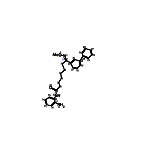 CO/N=C(\CCCCCCC(=O)Nc1ccccc1N)c1cccc(-c2ccccc2)c1